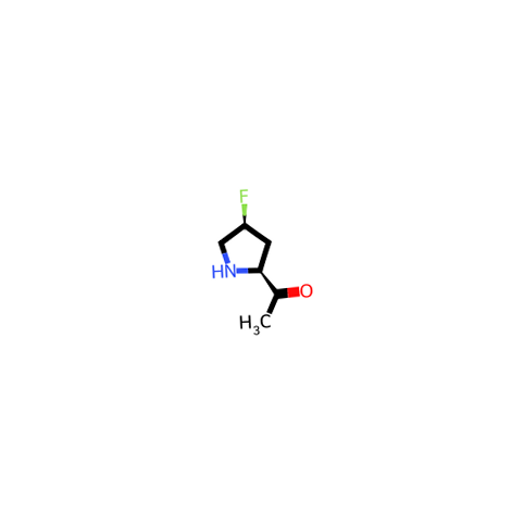 CC(=O)[C@@H]1C[C@H](F)CN1